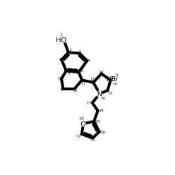 Br.Oc1ccc2c(c1)CCCC2C1CCCN1CCc1ccco1